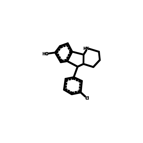 Oc1ccc2c(c1)C(c1cccc(Cl)c1)C1CCCNC21